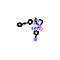 N#Cc1ccc(NC(=O)N2CCCCN3C[C@H](c4ccc(C#Cc5ccccc5)cc4)[C@@H]3C2)cc1